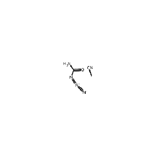 CC#N.[N-]=[N+]=NC(N)=O